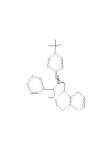 C[N+]1(C(C(N)=O)c2ccccc2)CCc2ncccc2C1CCc1ccc(C(F)(F)F)cc1